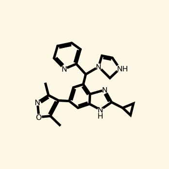 Cc1noc(C)c1-c1cc(C(c2ccccn2)N2C=CNC2)c2nc(C3CC3)[nH]c2c1